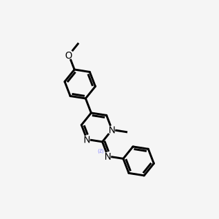 COc1ccc(-c2cn/c(=N/c3ccccc3)n(C)c2)cc1